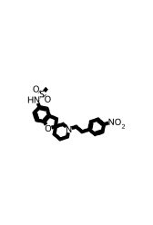 CS(=O)(=O)Nc1ccc2c(c1)CC1(CCCN(CCc3ccc([N+](=O)[O-])cc3)C1)O2